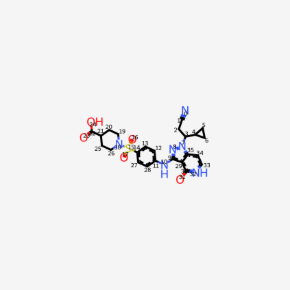 N#CCC(C1CC1)n1nc(Nc2ccc(S(=O)(=O)N3CCC(C(=O)O)CC3)cc2)c2c(=O)[nH]ccc21